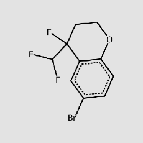 FC(F)C1(F)CCOc2ccc(Br)cc21